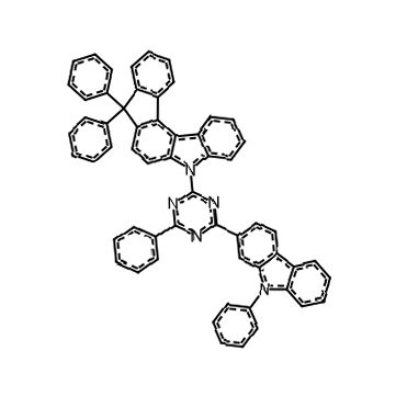 c1ccc(-c2nc(-c3ccc4c5ccccc5n(-c5ccccc5)c4c3)nc(-n3c4ccccc4c4c5c(ccc43)C(c3ccccc3)(c3ccccc3)c3ccccc3-5)n2)cc1